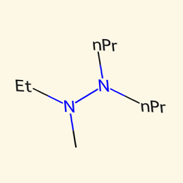 CCCN(CCC)N(C)CC